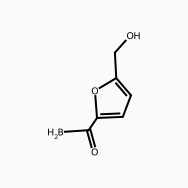 BC(=O)c1ccc(CO)o1